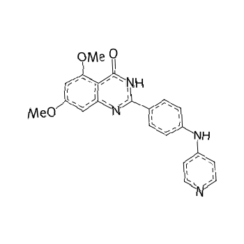 COc1cc(OC)c2c(=O)[nH]c(-c3ccc(Nc4ccncc4)cc3)nc2c1